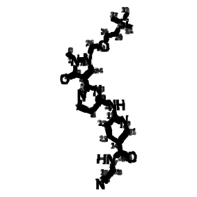 Cn1c(=O)c(-c2nccc(Nc3ccc(C(=O)NCC#N)cn3)n2)cn1COCC[Si](C)(C)C